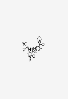 Cc1cc(Nc2nn([C@@H](CC#N)C3CC3)c3cc[nH]c(=O)c23)ccc1C(=O)N1CCCCC1